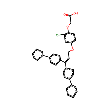 O=C(O)COc1ccc(OCC=C(c2ccc(-c3ccccc3)cc2)c2ccc(-c3ccccc3)cc2)cc1Cl